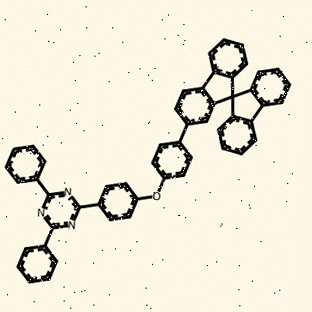 c1ccc(-c2nc(-c3ccccc3)nc(-c3ccc(Oc4ccc(-c5ccc6c(c5)C5(c7ccccc7-c7ccccc75)c5ccccc5-6)cc4)cc3)n2)cc1